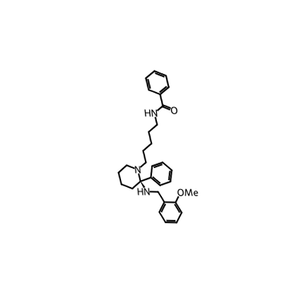 COc1ccccc1CN[C@@]1(c2ccccc2)CCCCN1CCCCCNC(=O)c1ccccc1